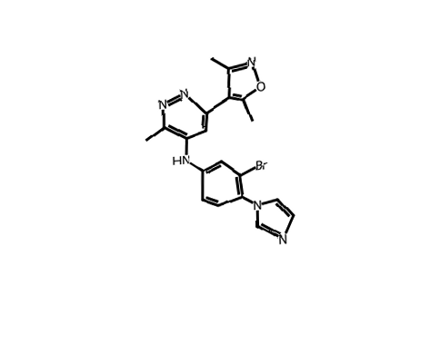 Cc1nnc(-c2c(C)noc2C)cc1Nc1ccc(-n2ccnc2)c(Br)c1